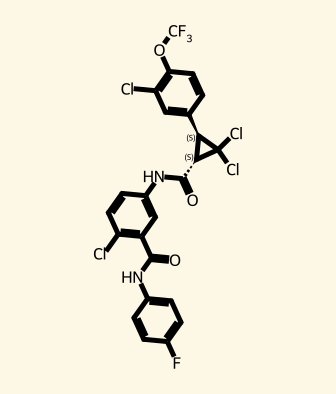 O=C(Nc1ccc(F)cc1)c1cc(NC(=O)[C@@H]2[C@@H](c3ccc(OC(F)(F)F)c(Cl)c3)C2(Cl)Cl)ccc1Cl